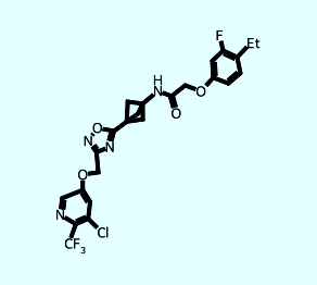 CCc1ccc(OCC(=O)NC23CC(c4nc(COc5cnc(C(F)(F)F)c(Cl)c5)no4)(C2)C3)cc1F